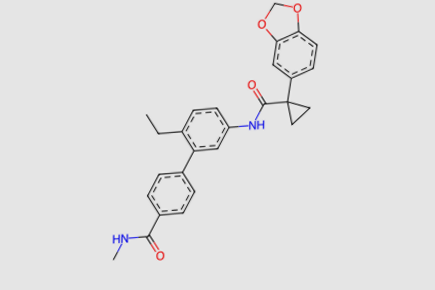 CCc1ccc(NC(=O)C2(c3ccc4c(c3)OCO4)CC2)cc1-c1ccc(C(=O)NC)cc1